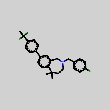 CC(F)(F)c1ccc(-c2ccc3c(c2)CN(Cc2ccc(F)cc2)CCC3(C)C)cc1